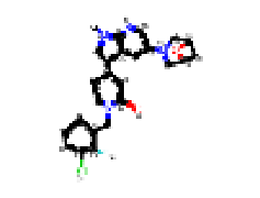 Cn1cc(-c2ccn(Cc3cccc(Cl)c3F)c(=O)c2)c2cc(N3CC4CC(C3)O4)cnc21